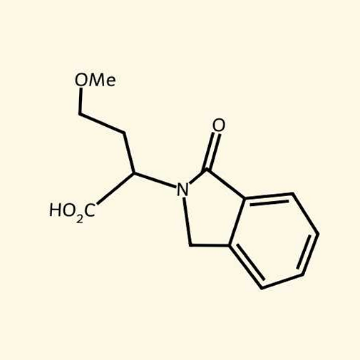 COCCC(C(=O)O)N1Cc2ccccc2C1=O